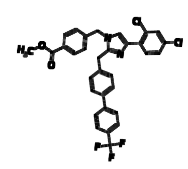 COC(=O)c1ccc(Cn2cc(-c3ccc(Cl)cc3Cl)nc2Cc2ccc(-c3ccc(C(F)(F)F)cc3)cc2)cc1